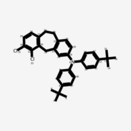 CC(C)(C)c1ccc(N(c2ccc(C(C)(C)C)cc2)c2ccc3c(c2)Cc2c(ccc(Cl)c2Cl)CC3)cc1